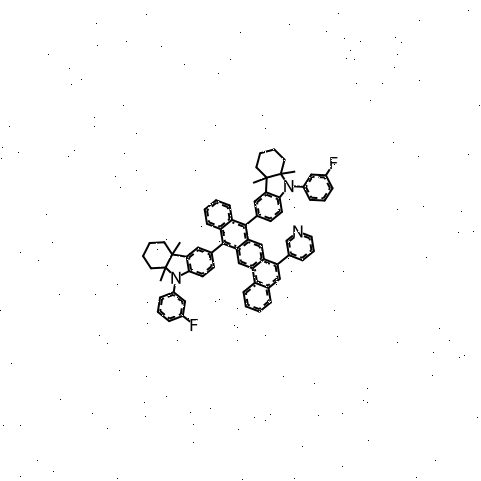 CC12CCCCC1(C)N(c1cccc(F)c1)c1ccc(-c3c4ccccc4c(-c4ccc5c(c4)C4(C)CCCCC4(C)N5c4cccc(F)c4)c4cc5c(cc34)c(-c3cccnc3)cc3ccccc35)cc12